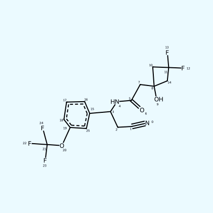 N#CCC(NC(=O)CC1(O)CC(F)(F)C1)c1cccc(OC(F)(F)F)c1